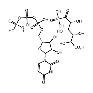 O=C(O)[C@@H](O)[C@@H](O)[C@H](O)[C@@H](O)C(=O)P(=O)(O)O.O=c1ccn([C@@H]2O[C@H](COP(=O)(O)OP(=O)(O)OP(=O)(O)O)[C@@H](O)[C@H]2O)c(=O)[nH]1